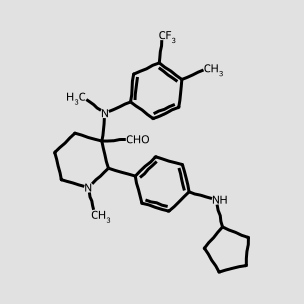 Cc1ccc(N(C)C2(C=O)CCCN(C)C2c2ccc(NC3CCCC3)cc2)cc1C(F)(F)F